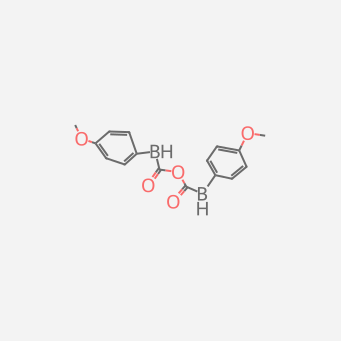 COc1ccc(BC(=O)OC(=O)Bc2ccc(OC)cc2)cc1